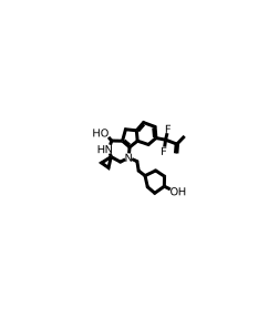 C=C(C)C(F)(F)C1=CC=C2CC3=C(C2C1)N(CCC1CCC(O)CC1)CC1(CC1)NC3O